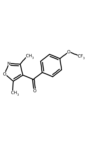 Cc1noc(C)c1C(=O)c1ccc(OC(F)(F)F)cc1